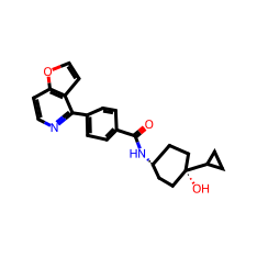 O=C(N[C@H]1CC[C@](O)(C2CC2)CC1)c1ccc(-c2nccc3occc23)cc1